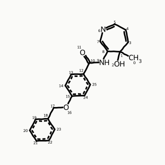 CC1(O)C=CC=NC=C1NC(=O)c1ccc(OCc2ccccc2)cc1